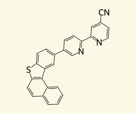 N#Cc1ccnc(-c2ccc(-c3ccc4sc5ccc6ccccc6c5c4c3)cn2)c1